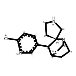 Clc1ccc(C2C3CCN(CC3)[C@]23CCNC3)cn1